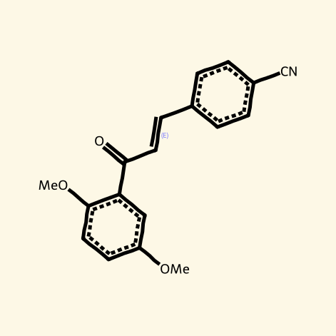 COc1ccc(OC)c(C(=O)/C=C/c2ccc(C#N)cc2)c1